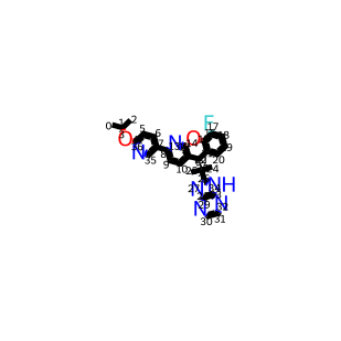 CC(C)Oc1ccc(-c2ccc3c(n2)Oc2c(F)cccc2[C@@H]3C(C)(C)c2nc3nccnc3[nH]2)cn1